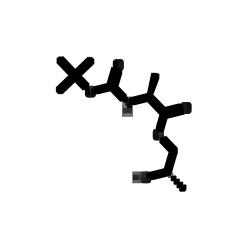 C[C@H](O)COC(=O)[C@H](C)NC(=O)OC(C)(C)C